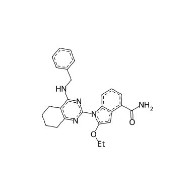 CCOc1cc2c(C(N)=O)cccc2n1-c1nc2c(c(NCc3ccccc3)n1)CCCC2